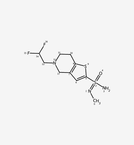 CN=S(N)(=O)c1cc2c(s1)CCN(CC(F)F)C2